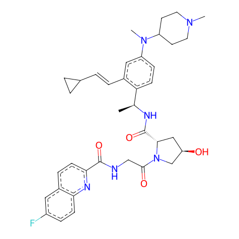 C[C@H](NC(=O)[C@@H]1C[C@@H](O)CN1C(=O)CNC(=O)c1ccc2cc(F)ccc2n1)c1ccc(N(C)C2CCN(C)CC2)cc1/C=C/C1CC1